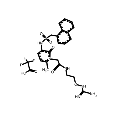 Cc1ccc(NS(=O)(=O)Cc2cccc3ccccc23)c(=O)n1CC(=O)NCCONC(=N)N.O=C(O)C(F)(F)F